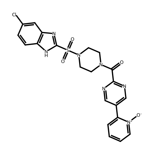 O=C(c1ncc(-c2cccc[n+]2[O-])cn1)N1CCN(S(=O)(=O)c2nc3cc(Cl)ccc3[nH]2)CC1